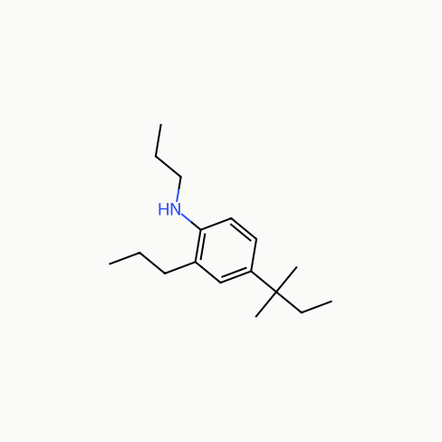 CCCNc1ccc(C(C)(C)CC)cc1CCC